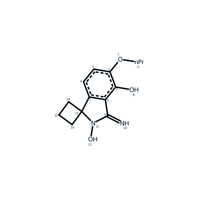 CCCOc1ccc2c(c1O)C(=N)N(O)C21CCC1